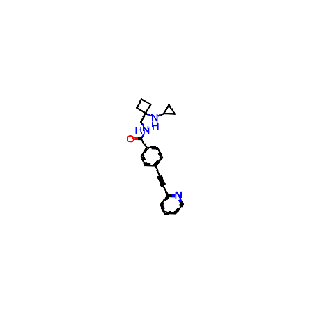 O=C(NCC1(NC2CC2)CCC1)c1ccc(C#Cc2ccccn2)cc1